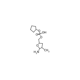 CC1CC(COP(=O)(O)OC2CCCC2)OC1N